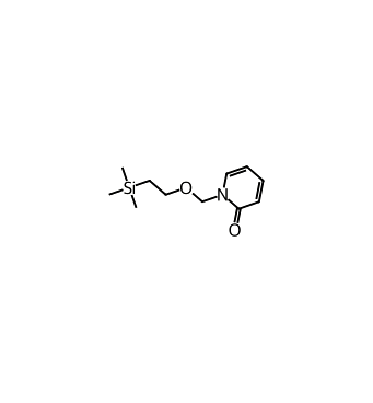 C[Si](C)(C)CCOCn1ccccc1=O